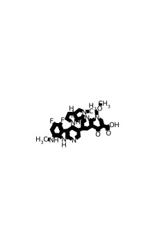 CNc1cc(F)c(F)c2c1[nH]c1ncc(-c3cnc4c(c3)c(=O)c(C(=O)O)cn4COC)c(N3CC[C@H]4CN(C)C[C@H]43)c12